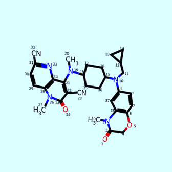 CN1C(=O)COc2ccc(N(CC3CC3)C3CCC(N(C)c4c(C#N)c(=O)n(C)c5ccc(C#N)nc45)CC3)cc21